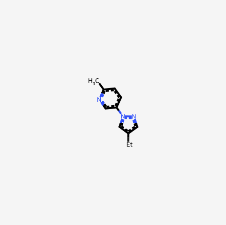 CCc1cnn(-c2ccc(C)nc2)c1